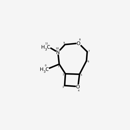 CC1C2COC2CCOCN1C